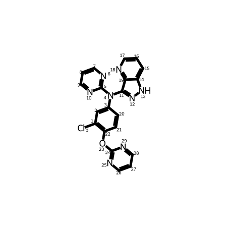 Clc1cc(N(c2ncccn2)c2n[nH]c3cccnc23)ccc1Oc1ncccn1